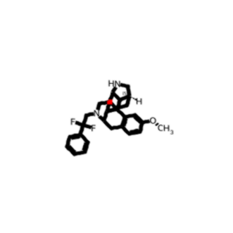 COc1ccc2c(c1)C13CCN(CC(F)(F)c4ccccc4)C(C2)C12CCC1NC[C@@H](C2)C13